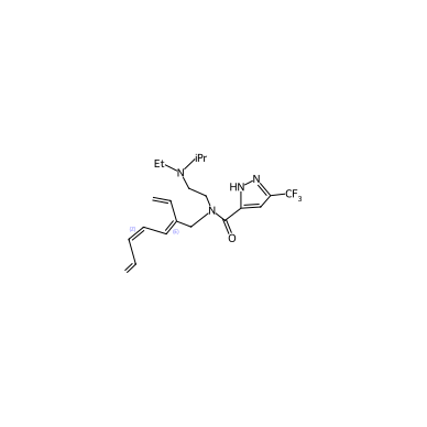 C=C/C=C\C=C(/C=C)CN(CCN(CC)C(C)C)C(=O)c1cc(C(F)(F)F)n[nH]1